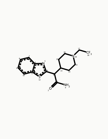 NC(=O)C(c1nc2ccccc2s1)C1CCN(CC(F)(F)F)CC1